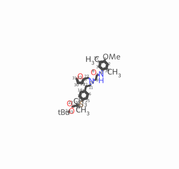 COc1cc(C)c(NC(=O)CN(CCc2ccc(SC(C)(C)C(=O)OC(C)(C)C)cc2)Cc2ccco2)cc1C